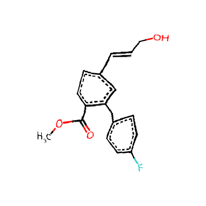 COC(=O)c1ccc(C=CCO)cc1-c1ccc(F)cc1